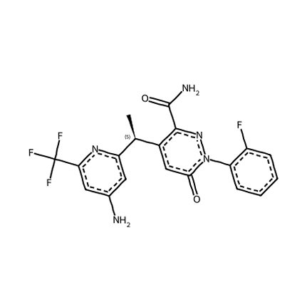 C[C@H](c1cc(N)cc(C(F)(F)F)n1)c1cc(=O)n(-c2ccccc2F)nc1C(N)=O